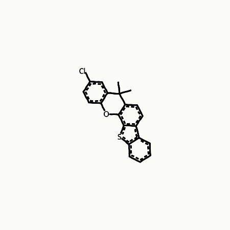 CC1(C)c2cc(Cl)ccc2Oc2c1ccc1c2sc2ccccc21